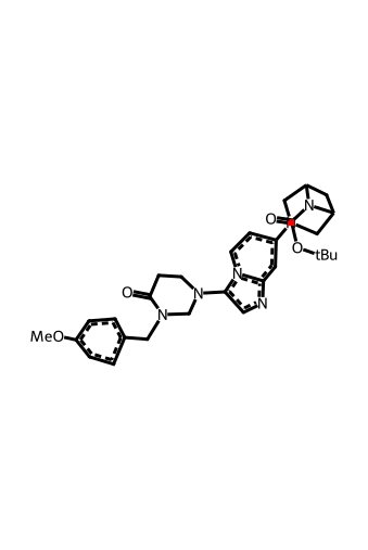 COc1ccc(CN2CN(c3cnc4cc(N5CC6CC(C5)N6C(=O)OC(C)(C)C)ccn34)CCC2=O)cc1